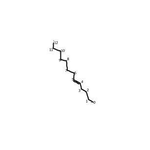 [CH2]CCCC=CCCCCCC[CH2]